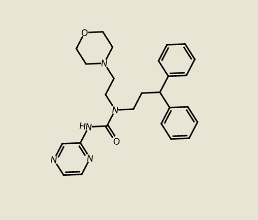 O=C(Nc1cnccn1)N(CCC(c1ccccc1)c1ccccc1)CCN1CCOCC1